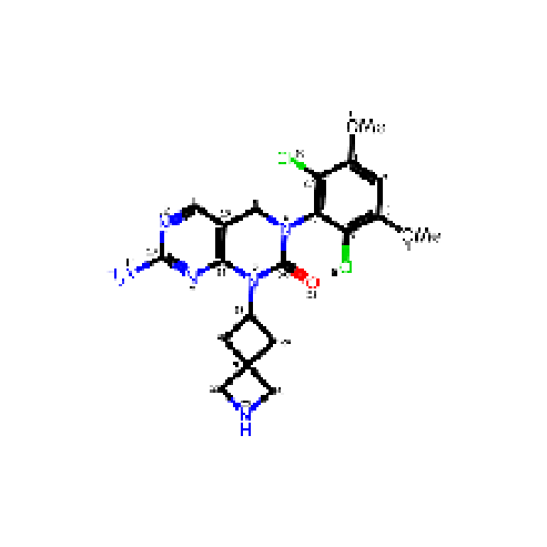 COc1cc(OC)c(Cl)c(N2Cc3cnc(N)nc3N(C3CC4(CNC4)C3)C2=O)c1Cl